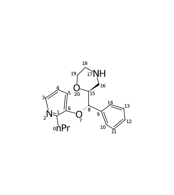 CCCc1ncccc1O[C@@H](c1ccccc1)[C@@H]1CNCCO1